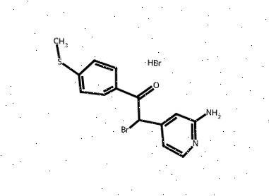 Br.CSc1ccc(C(=O)C(Br)c2ccnc(N)c2)cc1